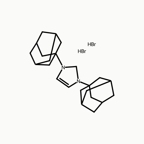 Br.Br.C1=CN(C23CC4CC(CC(C4)C2)C3)CN1C12CC3CC(CC(C3)C1)C2